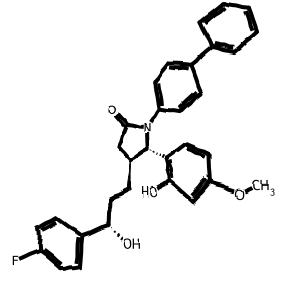 COc1ccc([C@@H]2[C@@H](CC[C@H](O)c3ccc(F)cc3)CC(=O)N2c2ccc(-c3ccccc3)cc2)c(O)c1